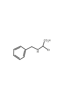 CCC(NCc1ccccc1)C(=O)O